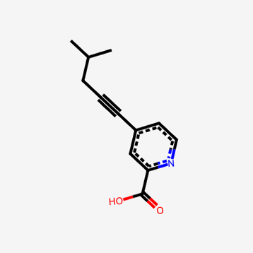 CC(C)CC#Cc1ccnc(C(=O)O)c1